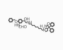 NC(=O)C(c1ccccc1)(c1ccccc1)C1CCN(CCCCCCCCCNC[C@@H](O)c2ccc(OCc3ccccc3)c(NC=O)c2)C1